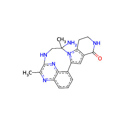 Cc1nc2cccc3c2nc1NCC(C)(N)n1c-3cc2c1CCNC2=O